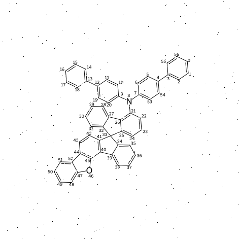 c1ccc(-c2ccc(N(c3ccc(-c4ccccc4)cc3)c3cccc4c3-c3ccccc3C43c4ccccc4-c4c3ccc3c4oc4ccccc43)cc2)cc1